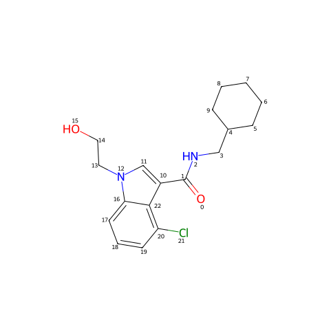 O=C(NCC1CCCCC1)c1cn(CCO)c2cccc(Cl)c12